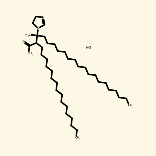 CCCCCCCCCCCCCCCCCCC(C)(C(CCCCCCCCCCCCCCCC)C(N)=O)N1C=NCC1.Cl